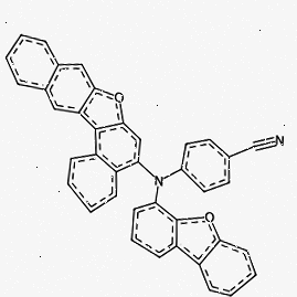 N#Cc1ccc(N(c2cc3oc4cc5ccccc5cc4c3c3ccccc23)c2cccc3c2oc2ccccc23)cc1